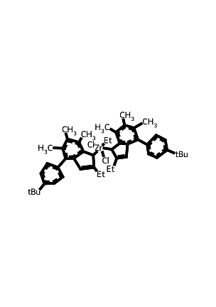 CCC1=Cc2c(-c3ccc(C(C)(C)C)cc3)c(C)c(C)c(C)c2[CH]1[Zr]([Cl])([Cl])([CH2]C)[CH]1C(CC)=Cc2c(-c3ccc(C(C)(C)C)cc3)c(C)c(C)c(C)c21